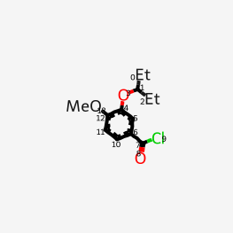 CCC(CC)Oc1cc(C(=O)Cl)ccc1OC